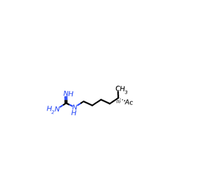 CC(=O)[C@@H](C)CCCCNC(=N)N